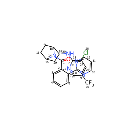 O=C(c1ccccc1-c1ncccn1)N1C2CCC1C(Nc1ncc(C(F)(F)F)cc1Cl)C2